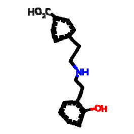 O=C(O)c1ccc(CCNCCc2ccccc2O)cc1